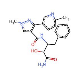 Cn1cc(C(=O)NC(Cc2ccccc2)C(O)C(N)=O)c(-c2ccc(C(F)(F)F)nc2)n1